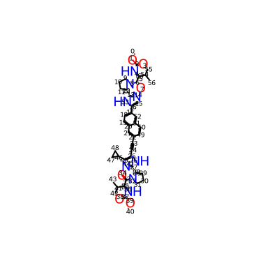 COC(=O)N[C@H](C(=O)N1CCC[C@H]1c1ncc(-c2ccc3cc(C#Cc4[nH]c([C@@H]5CCCN5C(=O)[C@@H](NC(=O)OC)C(C)C)nc4C4CC4)ccc3c2)[nH]1)C(C)C